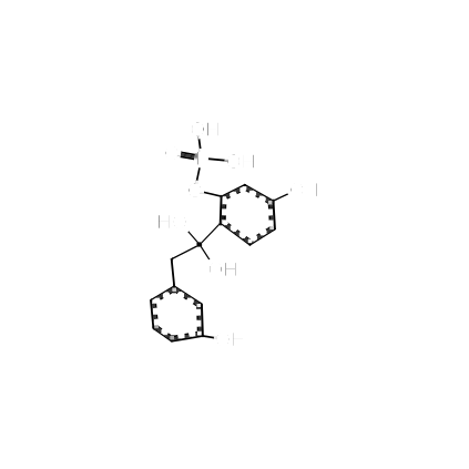 O=P(O)(O)Oc1cc(O)ccc1C(O)(O)Cc1cccc(O)c1